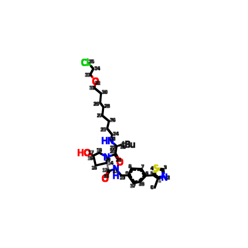 Cc1ncsc1-c1ccc(CNC(=O)[C@@H]2C[C@@H](O)CN2C(=O)[C@@H](NCCCCCCCCOCCCl)C(C)(C)C)cc1